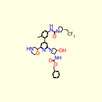 Cc1ccc(NC(=O)N2CC[C@@H](CC(F)(F)F)C2)cc1-c1cc(C2CNCCO2)nc(N2C[C@@H](O)[C@H](NC(=O)OCc3ccccc3)C2)c1